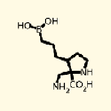 NCC1(C(=O)O)NCCC1CCCB(O)O